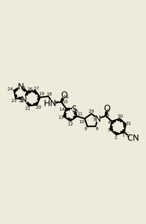 N#Cc1ccc(C(=O)N2CCC(c3ccc(C(=O)NCc4ccn5ccnc5c4)s3)C2)cc1